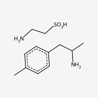 Cc1ccc(CC(C)N)cc1.NCCS(=O)(=O)O